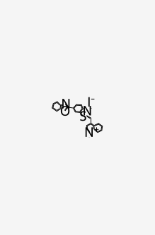 CN1/C(=C/c2cc[n+](C)c3ccccc23)Sc2cc(-c3nc4ccccc4o3)ccc21.[I-]